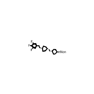 CCCCCCCCC[C@H]1CC[C@H](CC[C@H]2CC[C@H](CCc3cc(F)c(F)c(F)c3)CC2)CC1